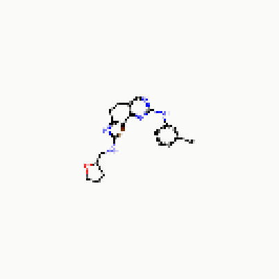 CC(=O)c1cccc(Nc2ncc3c(n2)-c2sc(NCC4CCCO4)nc2CC3)c1